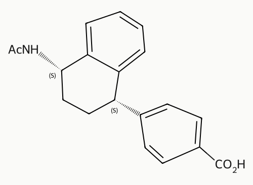 CC(=O)N[C@H]1CC[C@@H](c2ccc(C(=O)O)cc2)c2ccccc21